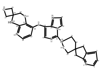 c1cnc2c(c1)CC1(CCN(c3ncc(Sc4ccnc5c4OCC4(COC4)N5)c4nccn34)CC1)C2